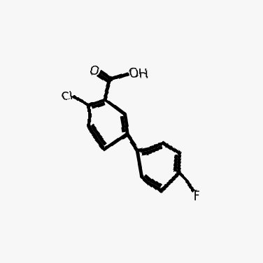 O=C(O)c1cc(-c2ccc(F)cc2)ccc1Cl